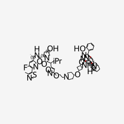 Cc1ncsc1-c1ncc([C@H](C)NC(=O)[C@@H]2C[C@@H](O)CN2C(=O)C(c2cc(OCCN3CCC(OC4CC(Oc5cc(N6C7CC[C@@H]6CN(c6cc(-c8ccccc8O)nnc6N)C7)ccn5)C4)CC3)no2)C(C)C)cc1F